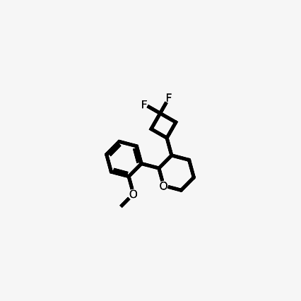 COc1ccccc1C1OCCCC1C1CC(F)(F)C1